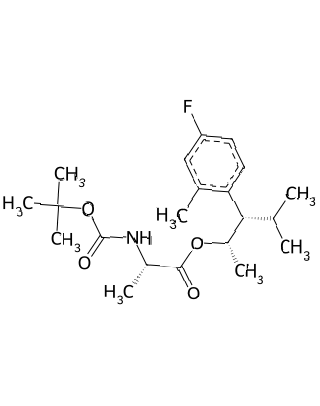 Cc1cc(F)ccc1[C@H](C(C)C)[C@H](C)OC(=O)[C@H](C)NC(=O)OC(C)(C)C